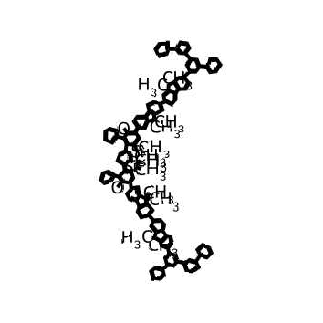 CC1(C)c2cc(-c3cc(-c4ccccc4)cc(-c4cccc(-c5ccccc5)c4)c3)ccc2-c2ccc(-c3ccc4c(c3)C(C)(C)c3cc(-c5cc6c(c7c5oc5ccccc57)-c5ccc7c(c5[Si]6(C)C)[Si](C)(C)c5cc(-c6ccc8c(c6)C(C)(C)c6cc(-c9ccc%10c(c9)C(C)(C)c9cc(-c%11cc(-c%12ccccc%12)cc(-c%12cccc(-c%13ccccc%13)c%12)c%11)ccc9-%10)ccc6-8)c6oc8ccccc8c6c5-7)ccc3-4)cc21